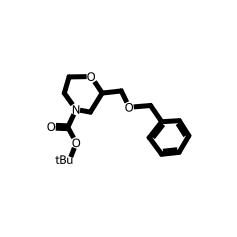 CC(C)(C)OC(=O)N1CCOC(COCc2ccccc2)C1